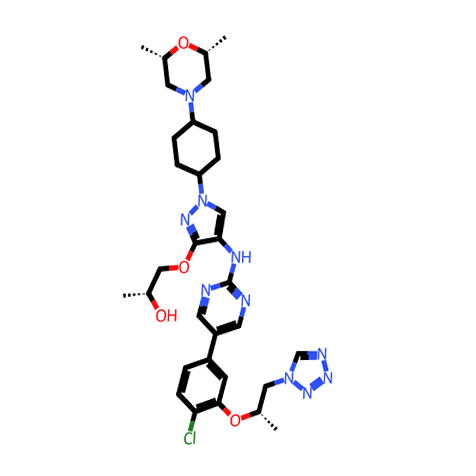 C[C@@H]1CN(C2CCC(n3cc(Nc4ncc(-c5ccc(Cl)c(O[C@@H](C)Cn6cnnn6)c5)cn4)c(OC[C@@H](C)O)n3)CC2)C[C@H](C)O1